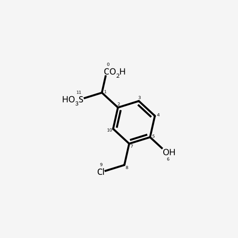 O=C(O)C(c1ccc(O)c(CCl)c1)S(=O)(=O)O